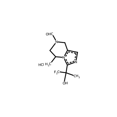 CC1CN(C=O)Cc2cnc(C(C)(O)C(F)(F)F)n21.Cl